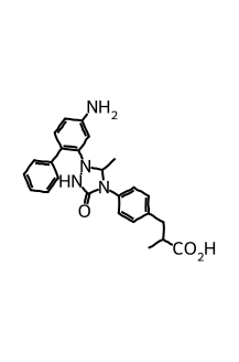 CC(Cc1ccc(N2C(=O)NN(c3cc(N)ccc3-c3ccccc3)C2C)cc1)C(=O)O